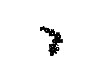 C[C@@H](C(=O)Nc1ccnc(-c2cnc(N3CC4C(C3)C4(C)F)nc2)n1)n1cnc2c1c(=O)n(C)c(=O)n2C